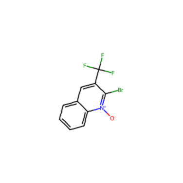 [O-][n+]1c(Br)c(C(F)(F)F)cc2ccccc21